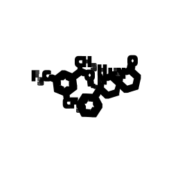 C[C@@H](OC[C@@]1(c2ccccc2)CC[C@@]2(CCCC(=O)N2)CN1)c1cc(C(F)(F)F)cc(C(F)(F)F)c1